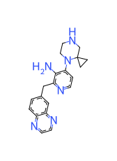 Nc1c(N2CCNCC23CC3)ccnc1Cc1ccc2nccnc2c1